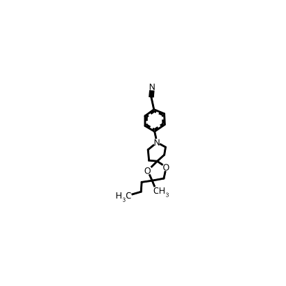 CCCC1(C)COC2(CCN(c3ccc(C#N)cc3)CC2)O1